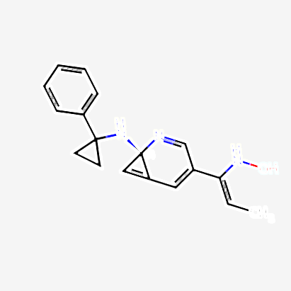 CC=C(NO)C1=CC2=C[C@]2(NC2(c3ccccc3)CC2)N=C1